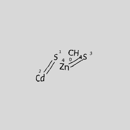 C.[S]=[Cd].[S]=[Zn]